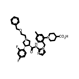 Cc1ccc(Cn2ccnc2NC(=O)[C@@H]2CN(CCOCc3ccccc3)C[C@H]2c2ccc(F)cc2F)c(N2CCC(C(=O)O)CC2)c1